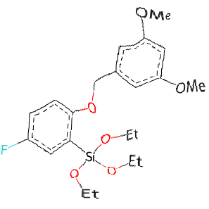 CCO[Si](OCC)(OCC)c1cc(F)ccc1OCc1cc(OC)cc(OC)c1